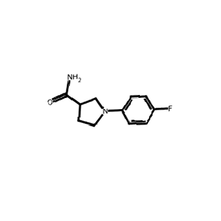 NC(=O)C1CCN(c2ccc(F)cc2)C1